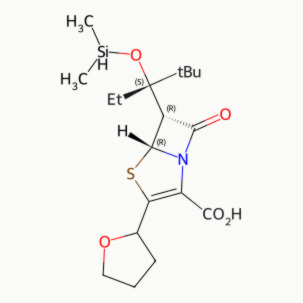 CC[C@](O[SiH](C)C)([C@@H]1C(=O)N2C(C(=O)O)=C(C3CCCO3)S[C@H]12)C(C)(C)C